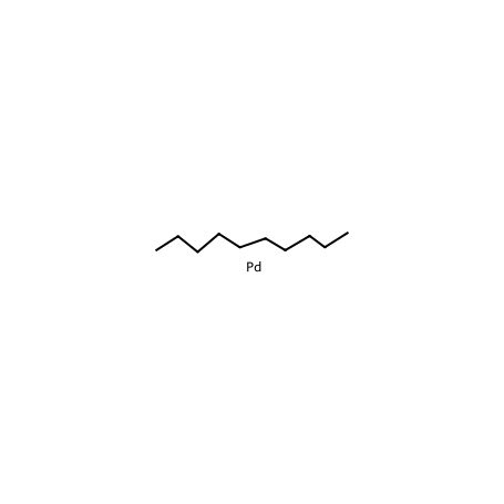 CCCCCCCCCC.[Pd]